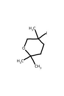 CC1(I)CCC(C)(C)OC1